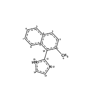 Cc1ccc2ccccc2c1-c1ncc[nH]1